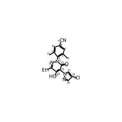 CCc1nn(-c2c(C)cc(C#N)cc2C)c(=O)c(-n2cc(Cl)cn2)c1O